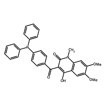 COc1cc2c(O)c(C(=O)c3ccc(N(c4ccccc4)c4ccccc4)cc3)c(=O)n(C)c2cc1OC